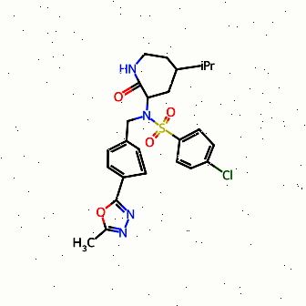 Cc1nnc(-c2ccc(CN(C3CC(C(C)C)CCNC3=O)S(=O)(=O)c3ccc(Cl)cc3)cc2)o1